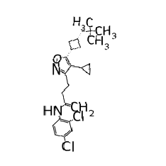 C=C(CCc1noc([C@H]2C[C@@H](CC(C)(C)C)C2)c1C1CC1)Nc1ccc(Cl)cc1Cl